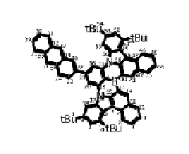 CC(C)(C)c1cc(C(C)(C)C)c2c3c4ccccc4cc4c3n(c2c1)-c1cc(-c2ccc3cc5ccccc5cc3c2)cc2c1B4c1cc3ccccc3c3c4c(C(C)(C)C)cc(C(C)(C)C)cc4n-2c13